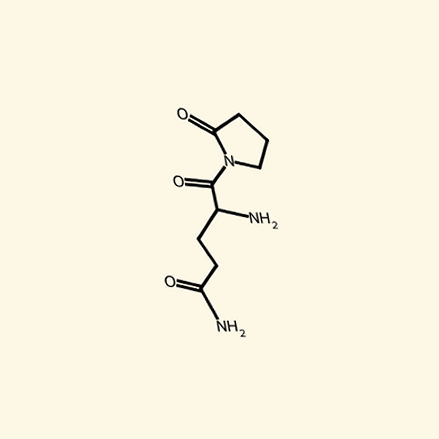 NC(=O)CCC(N)C(=O)N1CCCC1=O